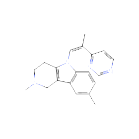 C/C(=C/n1c2c(c3cc(C)ccc31)CN(C)CC2)c1ccncn1